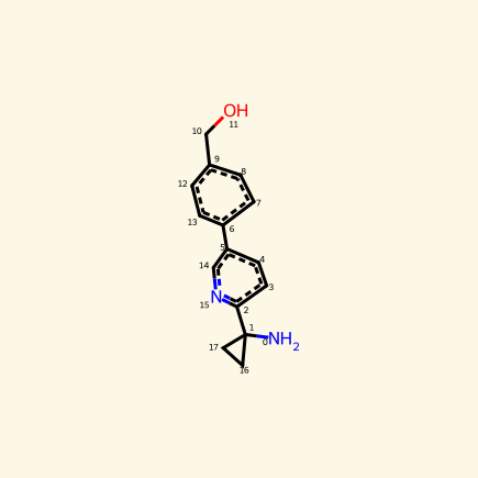 NC1(c2ccc(-c3ccc(CO)cc3)cn2)CC1